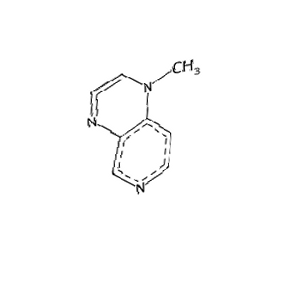 CN1C=C=Nc2cnccc21